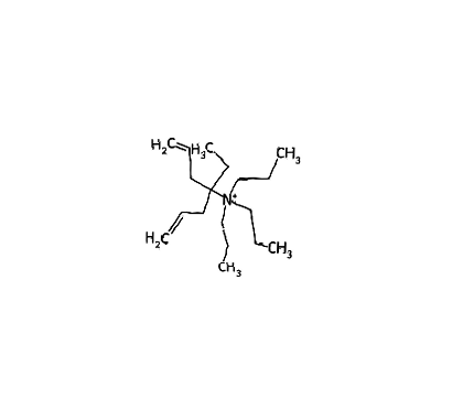 C=CCC(CC)(CC=C)[N+](CCC)(CCC)CCC